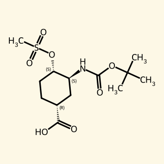 CC(C)(C)OC(=O)N[C@H]1C[C@H](C(=O)O)CC[C@@H]1OS(C)(=O)=O